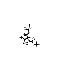 COC(=O)CC1=NN(C)C(=O)C1(C)N(O)C(=O)OC(C)(C)C